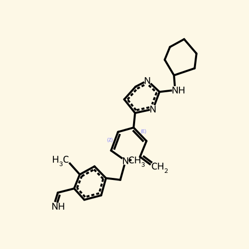 C=C/C=C(\C=C/N(C)Cc1ccc(C=N)c(C)c1)c1ccnc(NC2CCCCC2)n1